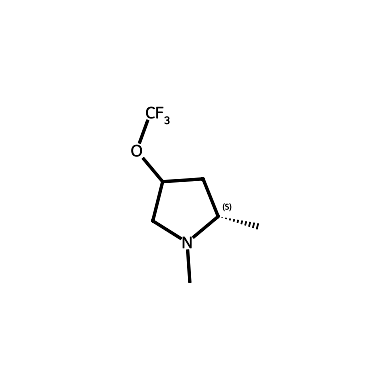 C[C@H]1CC(OC(F)(F)F)CN1C